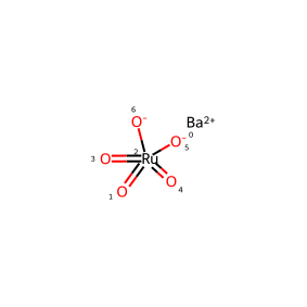 [Ba+2].[O]=[Ru](=[O])(=[O])([O-])[O-]